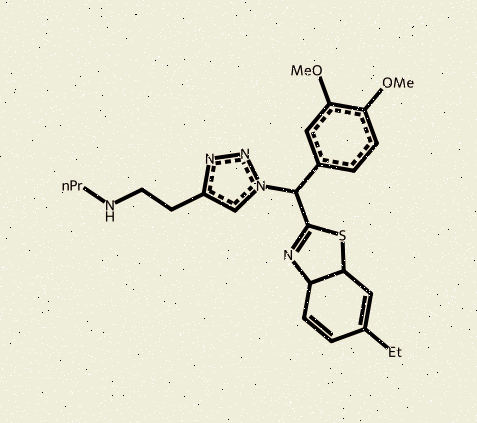 CCCNCCc1cn(C(C2=NC3C=CC(CC)=CC3S2)c2ccc(OC)c(OC)c2)nn1